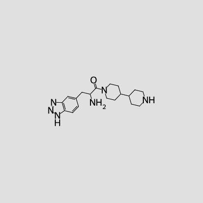 NC(Cc1ccc2[nH]nnc2c1)C(=O)N1CCC(C2CCNCC2)CC1